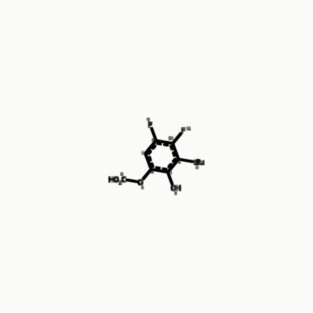 CC(C)(C)c1c(O)c(OC(=O)O)cc(F)c1F